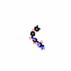 Cc1ccc(Oc2ccc(C(=O)N3CCC(O)(Cn4cnc5c(cnn5C)c4=O)CC3)cc2)cc1C